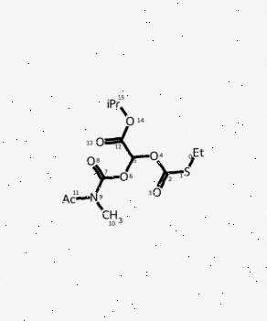 CCSC(=O)OC(OC(=O)N(C)C(C)=O)C(=O)OC(C)C